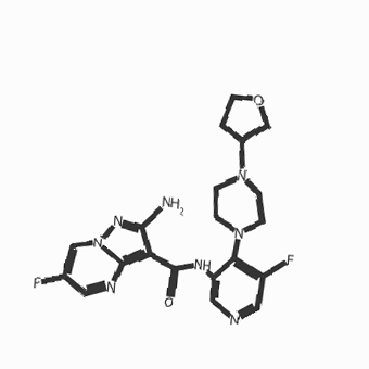 Nc1nn2cc(F)cnc2c1C(=O)Nc1cncc(F)c1N1CCN(C2CCOC2)CC1